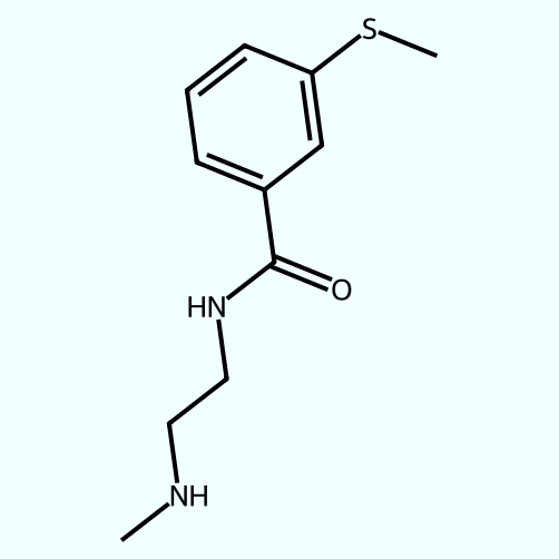 CNCCNC(=O)c1cccc(SC)c1